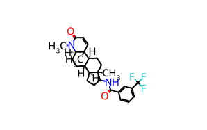 CN1C(=O)C=C[C@]2(C)[C@H]3CC[C@]4(C)[C@@H](NC(=O)c5cccc(C(F)(F)F)c5)CC[C@H]4[C@@H]3CC[C@@H]12